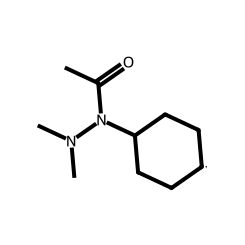 CC(=O)N(C1CC[CH]CC1)N(C)C